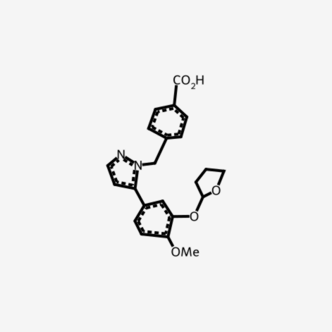 COc1ccc(-c2ccnn2Cc2ccc(C(=O)O)cc2)cc1OC1CCCO1